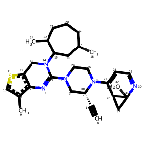 C#C[C@@H]1CN(C2=Nc3c(C)csc3CN2C2CC(C(F)(F)F)CCCC2C)CCN1C1=CC=NC2(OC)CC12